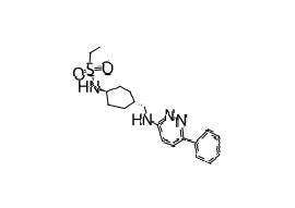 CCS(=O)(=O)N[C@H]1CC[C@H](CNc2ccc(-c3ccccc3)nn2)CC1